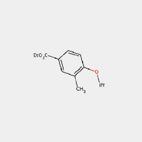 CCOC(=O)c1ccc(OC(C)C)c(C)c1